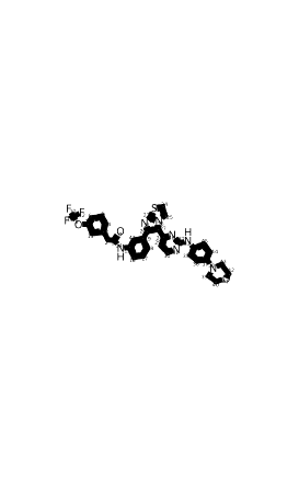 O=C(Cc1cccc(OC(F)(F)F)c1)Nc1cccc(-c2nc3sccn3c2-c2ccnc(Nc3ccc(N4CCOCC4)cc3)n2)c1